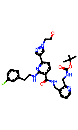 CC(C)(C)OC(=O)NCc1ncccc1CNC(=O)c1ccc(-c2cnn(CCO)c2)nc1NCCc1cccc(F)c1